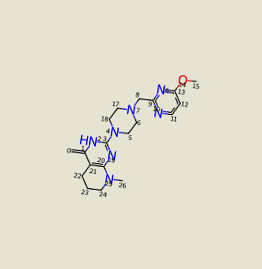 C=C1NC(N2CCN(Cc3nccc(OC)n3)CC2)=NC2=C1CCCN2C